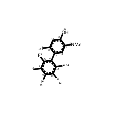 CNc1cc(-c2c(F)c(C)c(F)c(F)c2F)c(I)cc1O